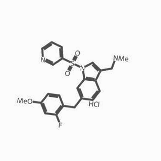 CNCc1cn(S(=O)(=O)c2cccnc2)c2cc(Cc3ccc(OC)cc3F)ccc12.Cl